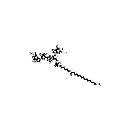 CCCCCCCCCCCCCCCC(=O)NCCCCCCOP(=O)(O)OCC1OC(N2CNc3c2nc(N)[nH]c3=S)C(O)C1OP(=O)(OC)OCC1OC(N2CNc3c2nc(N)[nH]c3=S)C(O)C1O